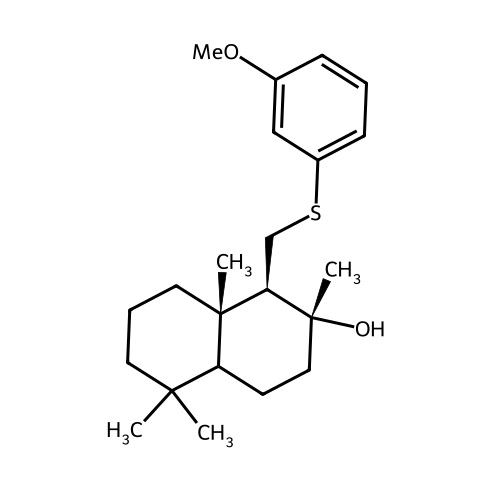 COc1cccc(SC[C@@H]2[C@@]3(C)CCCC(C)(C)C3CC[C@@]2(C)O)c1